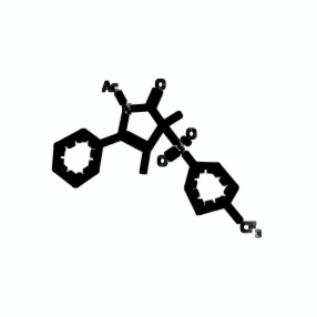 CC(=O)N1C(=O)C(C)(S(=O)(=O)c2ccc(C(F)(F)F)cc2)C(C)=C1c1ccccc1